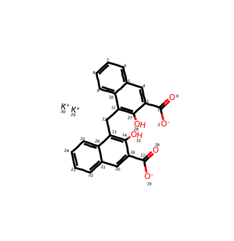 O=C([O-])c1cc2ccccc2c(Cc2c(O)c(C(=O)[O-])cc3ccccc23)c1O.[K+].[K+]